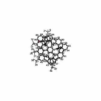 CC(C)c1ccc2c(c1)c1cc(C(C)C)ccc1n2-c1c(-c2ccc(C(C)(C)C)cc2)c(-n2c3ccc(C(C)C)cc3c3cc(C(C)C)ccc32)c(-n2c3ccccc3c3ccc4c5ccccc5sc4c32)c(C#N)c1-n1c2ccccc2c2ccc3c4ccccc4sc3c21